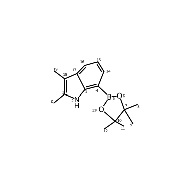 Cc1[nH]c2c(B3OC(C)(C)C(C)(C)O3)cccc2c1C